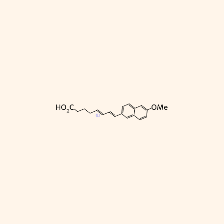 COc1ccc2cc(C=C/C=C/CCCC(=O)O)ccc2c1